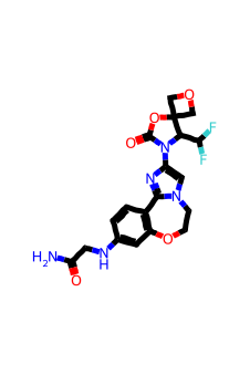 NC(=O)CNc1ccc2c(c1)OCCn1cc(N3C(=O)OC4(COC4)C3C(F)F)nc1-2